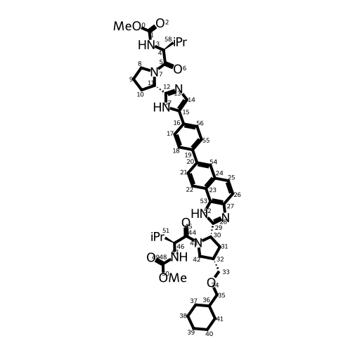 COC(=O)N[C@H](C(=O)N1CCC[C@H]1c1ncc(-c2ccc(-c3ccc4c(ccc5nc([C@@H]6C[C@H](COCC7CCCCC7)CN6C(=O)[C@@H](NC(=O)OC)C(C)C)[nH]c54)c3)cc2)[nH]1)C(C)C